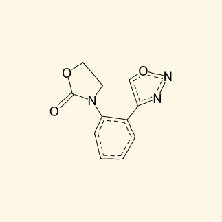 O=C1OCCN1c1ccccc1-c1conn1